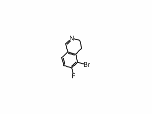 Fc1ccc2c(c1Br)CCN=C2